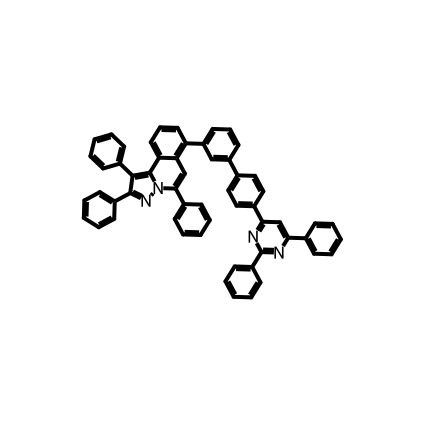 c1ccc(-c2cc(-c3ccc(-c4cccc(-c5cccc6c5cc(-c5ccccc5)n5nc(-c7ccccc7)c(-c7ccccc7)c65)c4)cc3)nc(-c3ccccc3)n2)cc1